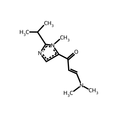 CC(C)c1ncc(C(=O)C=CN(C)C)n1C